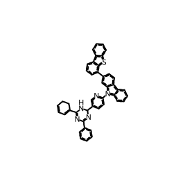 C1=CCCC(C2=NC(c3ccccc3)=NC(c3ccc(-n4c5ccccc5c5ccc(-c6cccc7c6sc6ccccc67)cc54)nc3)N2)=C1